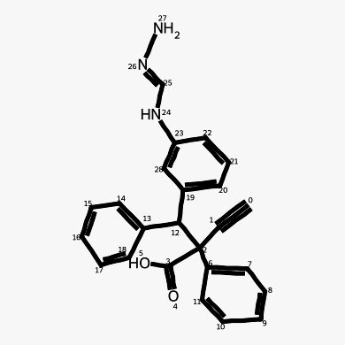 C#CC(C(=O)O)(c1ccccc1)C(c1ccccc1)c1cccc(NC=NN)c1